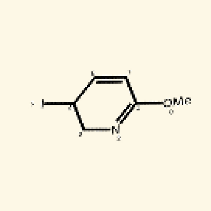 COC1=NCC(I)C=C1